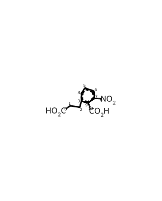 O=C(O)CCc1cccc([N+](=O)[O-])c1C(=O)O